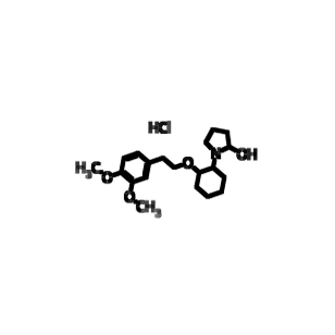 COc1ccc(CCOC2CCCCC2N2CCCC2O)cc1OC.Cl